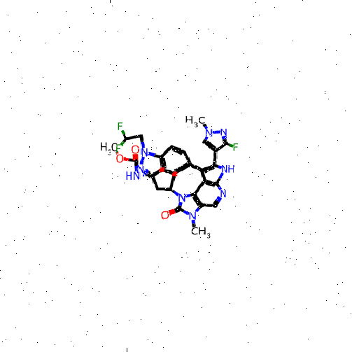 COC(=O)N[C@@H]1CC[C@@H](n2c(=O)n(C)c3cnc4[nH]c(-c5cn(C)nc5F)c(-c5ccc6c(cnn6CC(F)F)c5)c4c32)C1